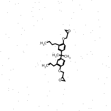 C=CCc1cc(C(C)(C)c2ccc(OCC3CO3)c(CCCC)c2)ccc1OCC1CO1